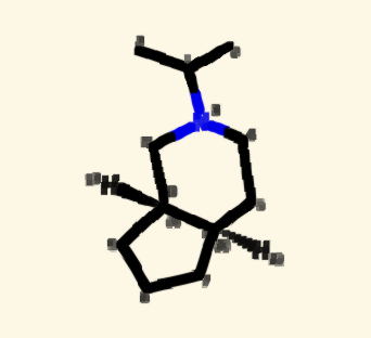 CC(C)N1CC[C@H]2CCC[C@@H]2C1